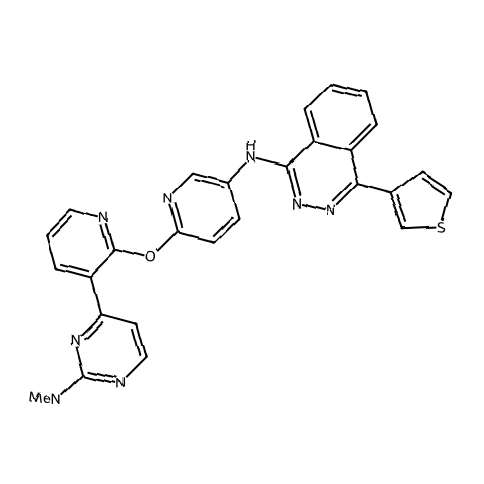 CNc1nccc(-c2cccnc2Oc2ccc(Nc3nnc(-c4ccsc4)c4ccccc34)cn2)n1